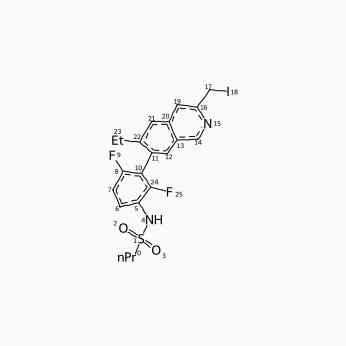 CCCS(=O)(=O)Nc1ccc(F)c(-c2cc3cnc(CI)cc3cc2CC)c1F